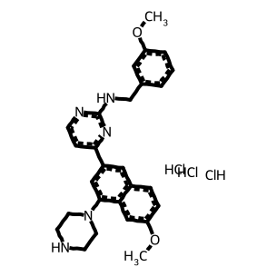 COc1cccc(CNc2nccc(-c3cc(N4CCNCC4)c4cc(OC)ccc4c3)n2)c1.Cl.Cl.Cl